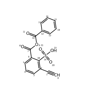 C#Cc1cccc(C(=O)OC(=O)c2ccccc2)c1S(=O)(=O)O